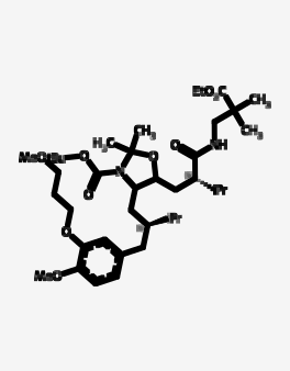 CCOC(=O)C(C)(C)CNC(=O)[C@@H](CC1OC(C)(C)N(C(=O)OC(C)(C)C)C1C[C@H](Cc1ccc(OC)c(OCCCOC)c1)C(C)C)C(C)C